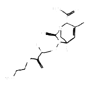 COCCOC(=O)[C@@H](F)ON1C(=O)N2C[C@H]1C=C(C)[C@H]2C(N)=O